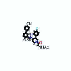 COc1ccc(-c2ccc(C#N)cc2)cc1CN[C@H]1CCN(C(=O)CNC(C)=O)C[C@H]1c1ccc(F)cc1